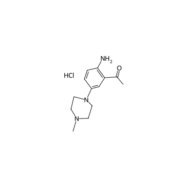 CC(=O)c1cc(N2CCN(C)CC2)ccc1N.Cl